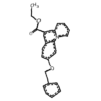 CCOC(=O)c1c2ccc(OCc3ccccc3)cc2n2ccccc12